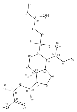 CC[C@H](O)CCC(C)(C)C1CC[C@@]2(C)C(CCC2[C@H](C)C[C@@H](C)C(=O)O)C1[C@H](O)CC